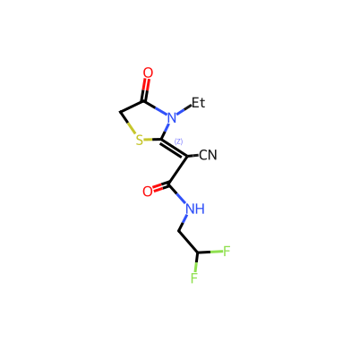 CCN1C(=O)CS/C1=C(/C#N)C(=O)NCC(F)F